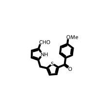 COc1ccc(C(=O)c2ccc(Cc3ccc(C=O)[nH]3)s2)cc1